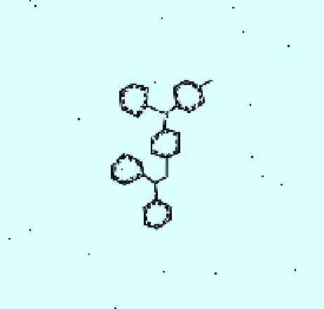 Cc1ccc(N(c2ccccc2)c2ccc(CC(c3ccccc3)c3ccccc3)cc2)cc1